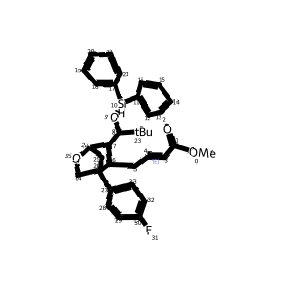 COC(=O)/C=C/CC1C(C(O[SiH](c2ccccc2)c2ccccc2)C(C)(C)C)C2CC1(c1ccc(F)cc1)CO2